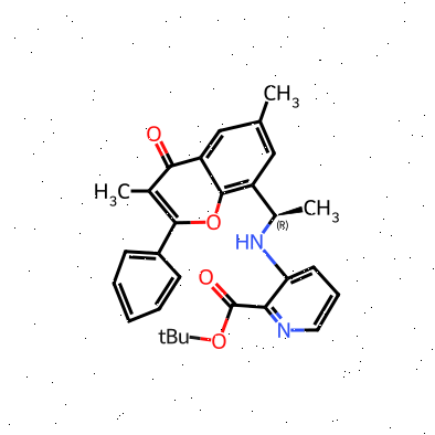 Cc1cc([C@@H](C)Nc2cccnc2C(=O)OC(C)(C)C)c2oc(-c3ccccc3)c(C)c(=O)c2c1